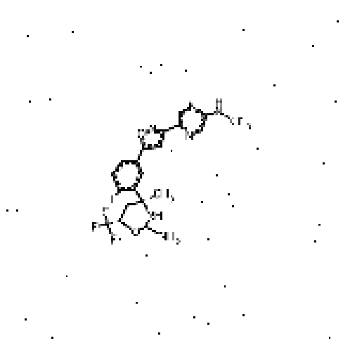 CNc1cnc(-c2cc(-c3ccc(F)c([C@]4(C)C[C@@H](C(F)(F)F)OC(N)N4)c3)on2)cn1